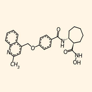 Cc1cc(COc2ccc(C(=O)N[C@@H]3CCCCC[C@H]3C(=O)NO)cc2)c2ccccc2n1